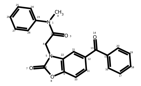 CN(C(=O)Cn1c(=O)oc2ccc(C(=O)c3ccccc3)cc21)c1ccccc1